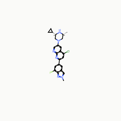 C[C@@H]1CN(c2cnc3nc(-c4cc(F)c5nn(C)cc5c4)cc(Cl)c3c2)C[C@H](C2CC2)N1